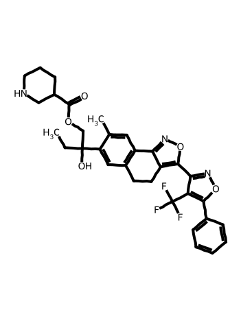 CCC(O)(COC(=O)C1CCCNC1)c1cc2c(cc1C)-c1noc(-c3noc(-c4ccccc4)c3C(F)(F)F)c1CC2